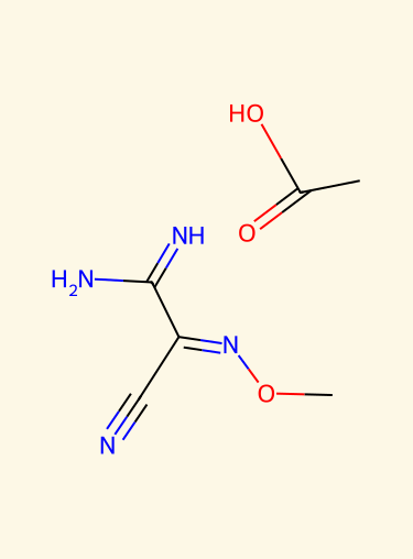 CC(=O)O.CON=C(C#N)C(=N)N